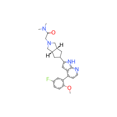 COc1ccc(F)cc1-c1ccnc2[nH]c(C3C[C@@H]4CN(CC(=O)N(C)C)C[C@@H]4C3)cc12